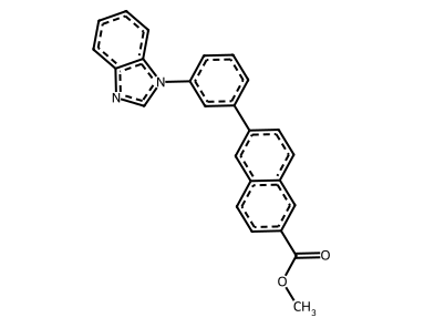 COC(=O)c1ccc2cc(-c3cccc(-n4cnc5ccccc54)c3)ccc2c1